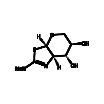 CNC1=N[C@@H]2[C@@H](O)[C@H](O)CO[C@@H]2S1